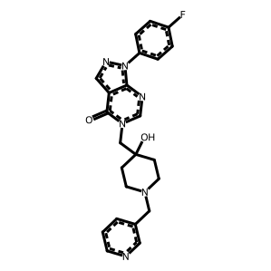 O=c1c2cnn(-c3ccc(F)cc3)c2ncn1CC1(O)CCN(Cc2cccnc2)CC1